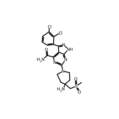 CS(=O)(=O)CC1(N)CCN(c2nc(C(N)=O)c3c(-c4cccc(Cl)c4Cl)n[nH]c3n2)CC1